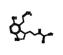 C=CCc1c(O)ccc2c1C(CCNC(=O)CCC)CN2